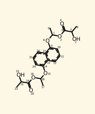 CC(OC(=O)C(C)O)Oc1cccc2c(OC(C)OC(=O)C(C)O)cccc12